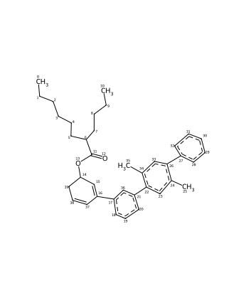 CCCCCCC(CCCC)C(=O)OC1C=C(c2cccc(-c3cc(C)c(-c4ccccc4)cc3C)c2)C=CC1